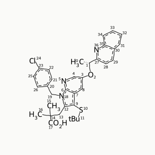 C[C@@H](Oc1cnc2c(c1)c(SC(C)(C)C)c(CC(C)(C)C(=O)O)n2Cc1ccc(Cl)cc1)c1ccc2ccccc2n1